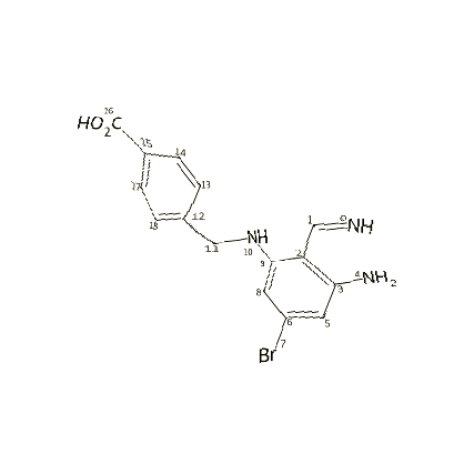 N=Cc1c(N)cc(Br)cc1NCc1ccc(C(=O)O)cc1